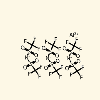 O=S(=O)([N-]S(=O)(=O)C(F)(F)F)C(F)(F)F.O=S(=O)([N-]S(=O)(=O)C(F)(F)F)C(F)(F)F.O=S(=O)([N-]S(=O)(=O)C(F)(F)F)C(F)(F)F.[Al+3]